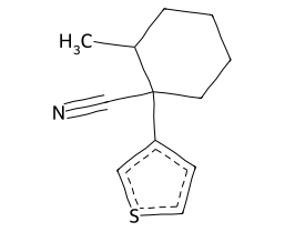 CC1CCCCC1(C#N)c1ccsc1